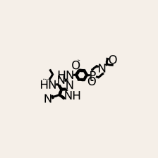 CC[C@@H](C)Nc1nc(Nc2ccc(P3(=O)CCN(C4COC4)CC3)cc2OC)nc2[nH]cc(C#N)c12